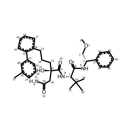 COC[C@@H](NC(=O)[C@@H](NC(=O)[C@@](O)(CCCc1ccccc1-c1cccc(C)c1)CC(N)=O)C(C)(C)C)c1ccccc1